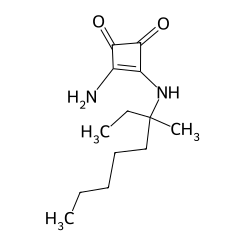 CCCCCC(C)(CC)Nc1c(N)c(=O)c1=O